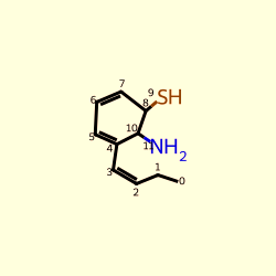 CC/C=C\C1=CC=CC(S)C1N